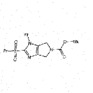 CCn1c(S(=O)(=O)C(C)C)nc2c1CN(C(=O)OC(C)(C)C)C2